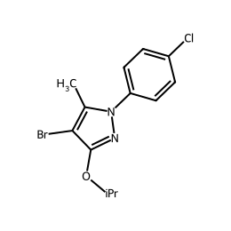 Cc1c(Br)c(OC(C)C)nn1-c1ccc(Cl)cc1